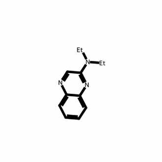 CCN(CC)c1cnc2ccccc2n1